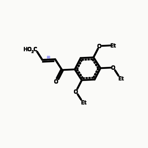 CCOc1cc(OCC)c(C(=O)/C=C/C(=O)O)cc1OCC